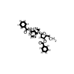 C=CC1O[C@@H](n2cnc3c(NC(=O)c4ccccc4)ncnc32)C[C@H]1OC(=O)c1ccccc1